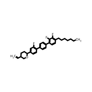 C=CC1CCC(c2ccc(-c3ccc(-c4ccc(CCCCCCC)c(F)c4F)cc3)c(F)c2)OC1